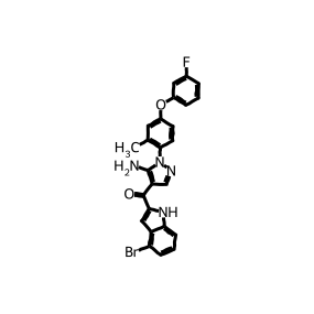 Cc1cc(Oc2cccc(F)c2)ccc1-n1ncc(C(=O)c2cc3c(Br)cccc3[nH]2)c1N